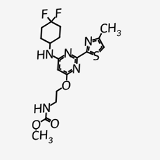 COC(=O)NCCOc1cc(NC2CCC(F)(F)CC2)nc(-c2nc(C)cs2)n1